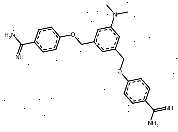 CN(C)c1cc(COc2ccc(C(=N)N)cc2)cc(COc2ccc(C(=N)N)cc2)c1